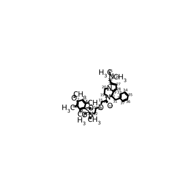 COc1cc(C)c(S(=O)(=O)N(C)CCOCC(=O)N2CCn3c(CN(C)C)ccc3C2Cc2ccccc2)c(C)c1C